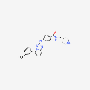 Cc1cccc(-c2cccc3nc(Nc4ccc(C(=O)NCC5CCNCC5)cc4)nn23)c1